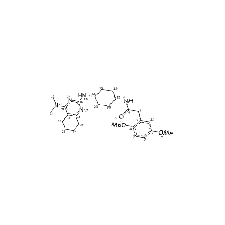 COc1ccc(OC)c(CC(=O)N[C@H]2CC[C@@H](Nc3nc4c(c(N(C)C)n3)CCCC4)CC2)c1